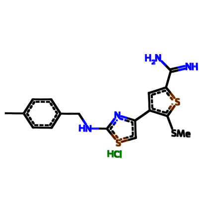 CSc1sc(C(=N)N)cc1-c1csc(NCc2ccc(C)cc2)n1.Cl